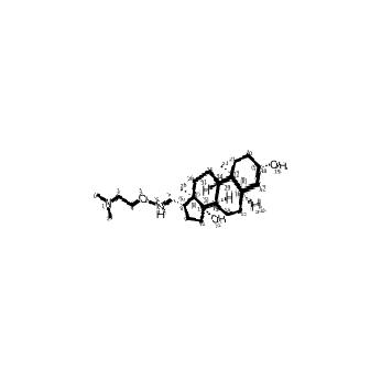 CN(C)CCONC[C@H]1CC[C@]2(O)[C@@H]3CC[C@@H]4C[C@@H](O)CC[C@]4(C)[C@H]3CC[C@]12C